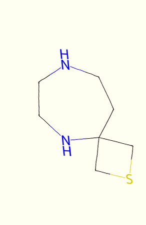 C1CNC2(CCN1)CSC2